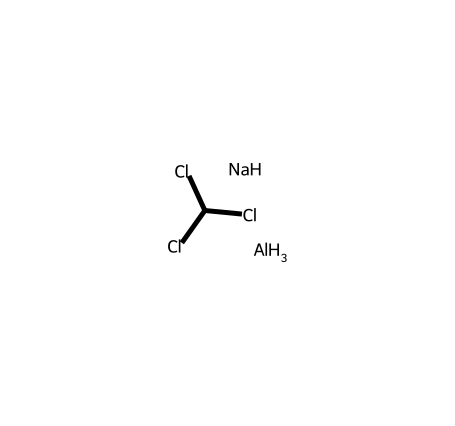 ClC(Cl)Cl.[AlH3].[NaH]